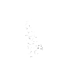 CCCCc1nc2ccn(Cc3ccc(C(=O)O)cc3)c(=O)c2n1Cc1ccc(-c2ccccc2-c2nnn[nH]2)cc1